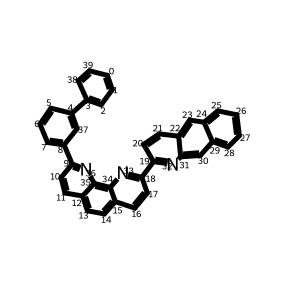 c1ccc(-c2cccc(-c3ccc4ccc5ccc(-c6ccc7cc8ccccc8cc7n6)nc5c4n3)c2)cc1